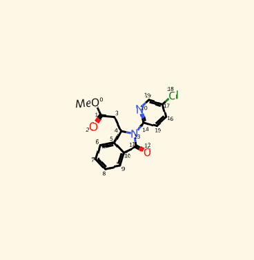 COC(=O)CC1c2ccccc2C(=O)N1c1ccc(Cl)cn1